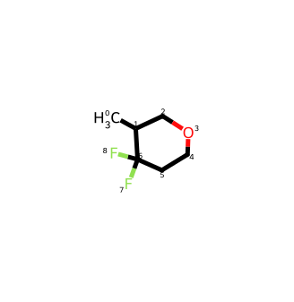 CC1COCCC1(F)F